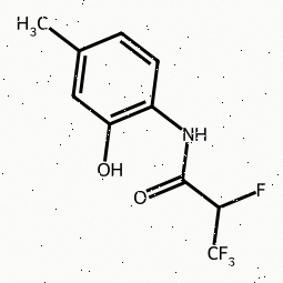 Cc1ccc(NC(=O)C(F)C(F)(F)F)c(O)c1